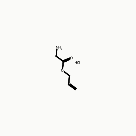 C=CCOC(=O)CN.Cl